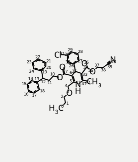 CCCOCC1=C(C(=O)OCCC(c2ccccc2)c2ccccc2)C(c2cccc(Cl)c2)C(C(=O)OCCC#N)=C(C)N1